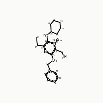 CC(C)Cc1c(OCc2ccccc2)nc(CI)c(OC2CCCCC2)[n+]1[O-]